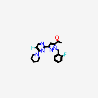 CC(=O)c1cc(-c2ncc(F)c(N3CCCCC3)n2)nn1Cc1ccccc1F